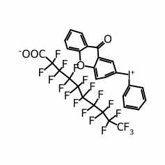 O=C([O-])C(F)(F)C(F)(F)C(F)(F)C(F)(F)C(F)(F)C(F)(F)C(F)(F)C(F)(F)C(F)(F)F.O=c1c2ccccc2oc2ccc([I+]c3ccccc3)cc12